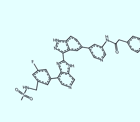 CS(=O)(=O)NCc1cc(F)cc(-c2cncc3[nH]c(-c4n[nH]c5ccc(-c6cncc(NC(=O)Cc7ccccc7)c6)cc45)nc23)c1